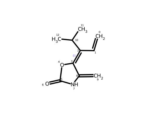 C=C/C(=c1/oc(=O)[nH]c1=C)C(C)C